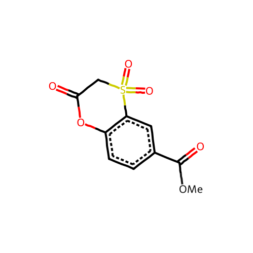 COC(=O)c1ccc2c(c1)S(=O)(=O)CC(=O)O2